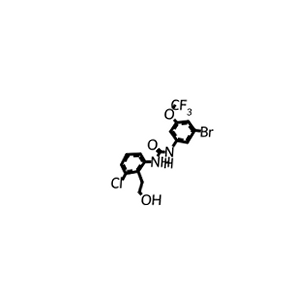 O=C(Nc1cc(Br)cc(OC(F)(F)F)c1)Nc1cccc(Cl)c1CCO